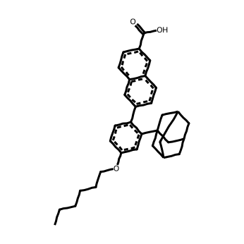 CCCCCCOc1ccc(-c2ccc3cc(C(=O)O)ccc3c2)c(C23CC4CC(CC(C4)C2)C3)c1